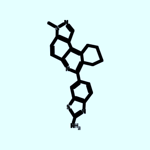 Cn1ncc2c3c4c(c(-c5ccc6nc(N)sc6c5)nc3ccc21)CCCC4